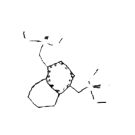 COP(=O)(Cc1ccc(CP(=O)(OC)OC)c2c1CCCC2)OC